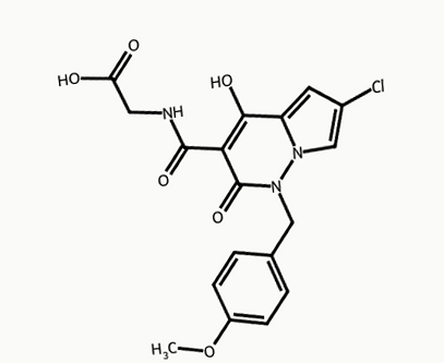 COc1ccc(Cn2c(=O)c(C(=O)NCC(=O)O)c(O)c3cc(Cl)cn32)cc1